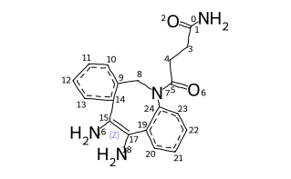 NC(=O)CCC(=O)N1Cc2ccccc2/C(N)=C(/N)c2ccccc21